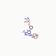 CC(C)n1ncc2c(N[C@H]3CO[C@@H]4OCC[C@@H]43)cc(-c3cccc(OCC(O)CN)c3)nc21